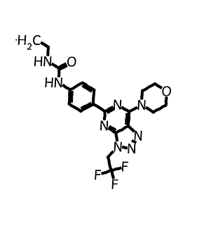 [CH2]CNC(=O)Nc1ccc(-c2nc(N3CCOCC3)c3nnn(CC(F)(F)F)c3n2)cc1